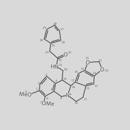 COc1ccc2c(c1OC)CN1CCc3cc4c(cc3C1C2CNC(=O)Cc1ccccc1)OCO4